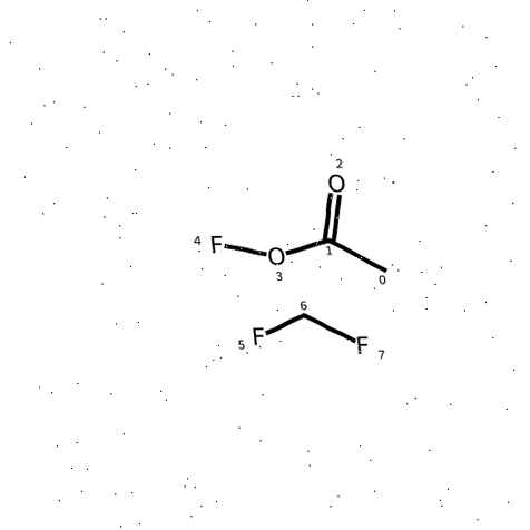 CC(=O)OF.FCF